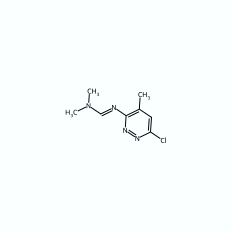 Cc1cc(Cl)nnc1N=CN(C)C